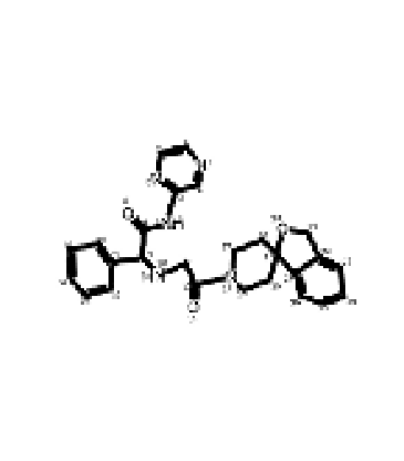 O=C(Nc1cnccn1)C(NCC(=O)N1CCC2(CC1)OCc1ccccc12)c1ccccc1